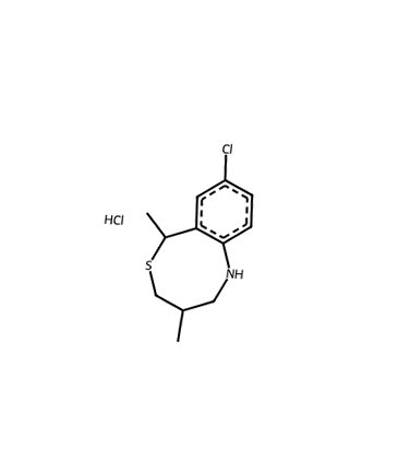 CC1CNc2ccc(Cl)cc2C(C)SC1.Cl